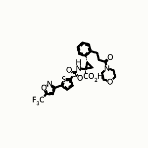 O=C(CCc1ccccc1[C@@H]1C[C@]1(NS(=O)(=O)c1ccc(-c2cc(C(F)(F)F)on2)s1)C(=O)O)N1CCOCC1